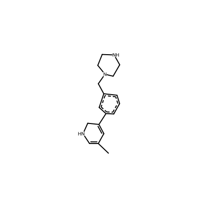 CC1=CNCC(c2cccc(CN3CCNCC3)c2)=C1